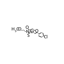 COCCCN1C(=O)c2cc3oc(-c4ccc(Cl)cc4)cc3n2C1=S